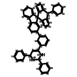 C1=C(c2cccc(-c3ccc4c(c3)C3(c5ccccc5-4)c4ccccc4N(c4ccccc4)c4ccccc43)c2)NC(c2ccccc2)NC1c1ccccc1